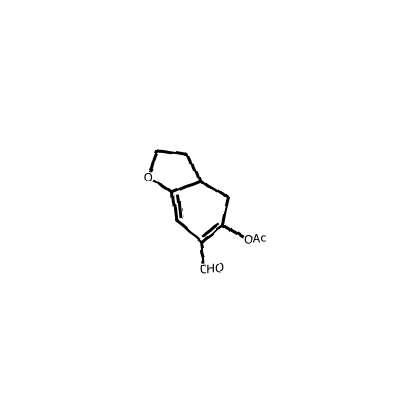 CC(=O)OC1=C(C=O)C=C2OCCC2C1